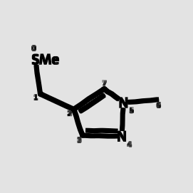 CSCc1cnn(C)c1